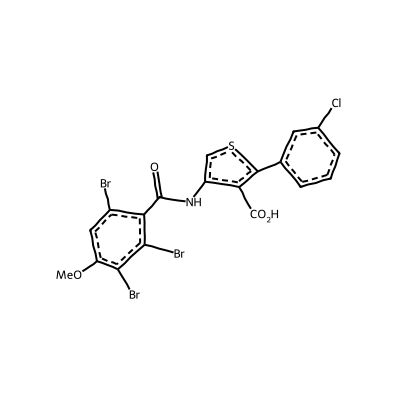 COc1cc(Br)c(C(=O)Nc2csc(-c3cccc(Cl)c3)c2C(=O)O)c(Br)c1Br